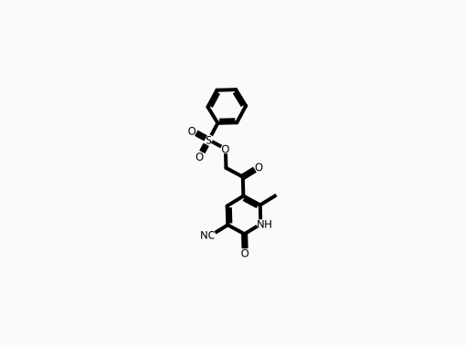 Cc1[nH]c(=O)c(C#N)cc1C(=O)COS(=O)(=O)c1ccccc1